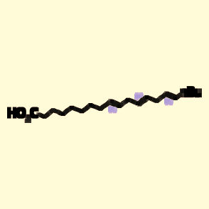 CCCC/C=C/C/C=C/C/C=C/CCCCCCCC(=O)O